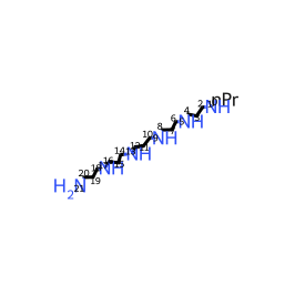 [CH2]CCNCCCNCCCNCCCNCCCNCCCN